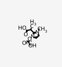 CC(C(=O)O)c1nccn1C.O=[N+]([O-])O